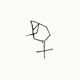 CCC12CCN(C(C)(C)C)CC1C2